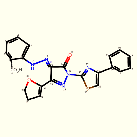 O=C(O)c1ccccc1N/N=C1/C(=O)N(c2nc(-c3ccccc3)cs2)N=C1C1=CCCO1